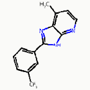 Cc1ccnc2[nH]c(-c3cccc(C(F)(F)F)c3)nc12